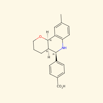 Cc1ccc2c(c1)[C@@H]1OCCC[C@@H]1[C@H](c1ccc(C(=O)O)cc1)N2